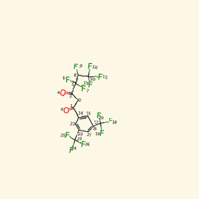 O=C(CC(=O)C(F)(F)C(F)C(F)(F)F)c1cc(C(F)(F)F)cc(C(F)(F)F)c1